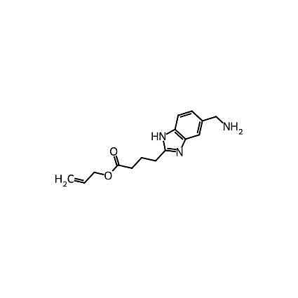 C=CCOC(=O)CCCc1nc2cc(CN)ccc2[nH]1